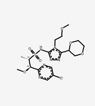 COCCn1c(NS(=O)(=O)[C@@H](C)[C@H](OC)c2ncc(Cl)cn2)nnc1C1COCCO1